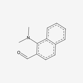 CN(C)c1c(C=O)ccc2ccccc12